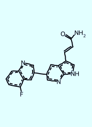 NC(=O)C=Cc1c[nH]c2ncc(-c3cnc4cccc(F)c4c3)cc12